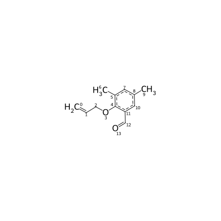 C=CCOc1c(C)cc(C)cc1C=O